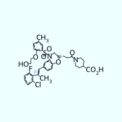 C/C(=C\c1ccc2c(c1)N(S(=O)(=O)c1cc(C)ccc1OCCO)C[C@H](CCC(=O)N1CCC(C(=O)O)CC1)O2)c1c(F)cccc1Cl